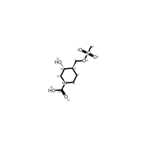 CS(=O)(=O)OC[C@H]1CCN(C(=O)O)C[C@@H]1O